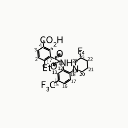 CCc1ccc(C(=O)O)cc1S(=O)(=O)Nc1cc(C(F)(F)F)ccc1N1CCC[C@H](F)C1